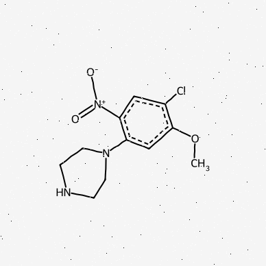 COc1cc(N2CCNCC2)c([N+](=O)[O-])cc1Cl